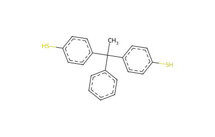 CC(c1ccccc1)(c1ccc(S)cc1)c1ccc(S)cc1